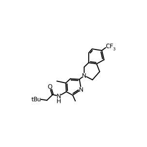 Cc1cc(N2CCc3cc(C(F)(F)F)ccc3C2)nc(C)c1NC(=O)CC(C)(C)C